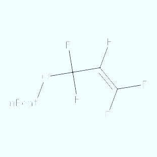 CCCCCOC(F)(F)C(F)=C(F)F